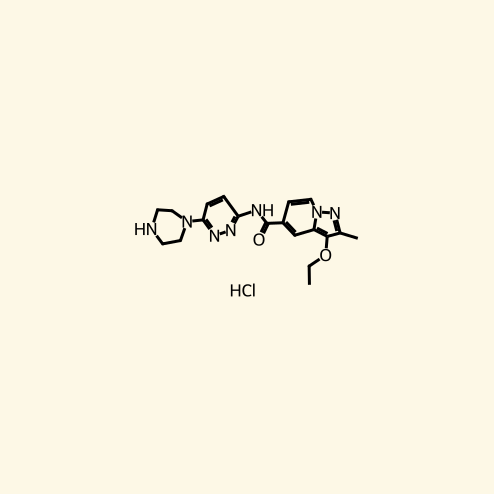 CCOc1c(C)nn2ccc(C(=O)Nc3ccc(N4CCNCC4)nn3)cc12.Cl